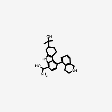 CC(C)(O)C1CCc2c([nH]c3c(C(N)O)ccc(-c4cccc5c4CCNC5)c23)C1